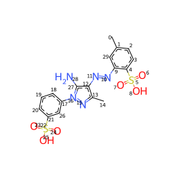 Cc1ccc(S(=O)(=O)O)c(N=Nc2c(C)nn(-c3cccc(S(=O)(=O)O)c3)c2N)c1